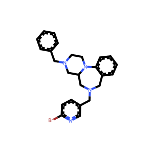 Brc1ccc(CN2Cc3ccccc3N3CCN(Cc4ccccc4)CC3C2)cn1